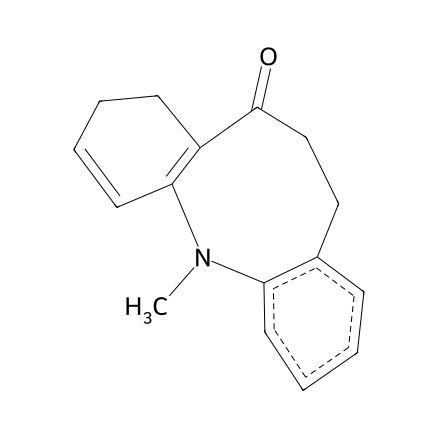 CN1C2=C(CCC=C2)C(=O)CCc2ccccc21